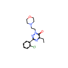 CCc1nc(-c2ccccc2Cl)nn(CCN2CCOCC2)c1=O